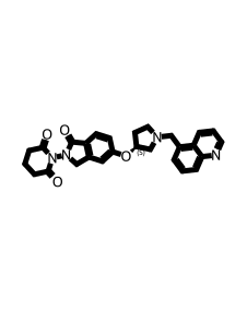 O=C1c2ccc(O[C@H]3CCN(Cc4cccc5ncccc45)C3)cc2CN1N1C(=O)CCCC1=O